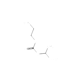 CC(OC(=O)OCCN)C(=O)O